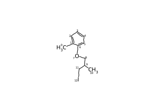 Cc1ccccc1OCC(C)CI